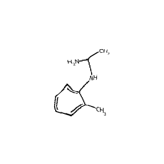 Cc1ccccc1NC(C)N